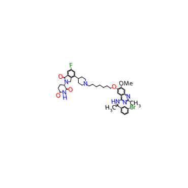 COc1cc2nc(C)nc(N[C@H](C)c3cccc(Br)c3)c2cc1OCCCCCCCN1CCC(c2cc(F)cc3c2CN(C2CCC(=O)NC2=O)C3=O)CC1